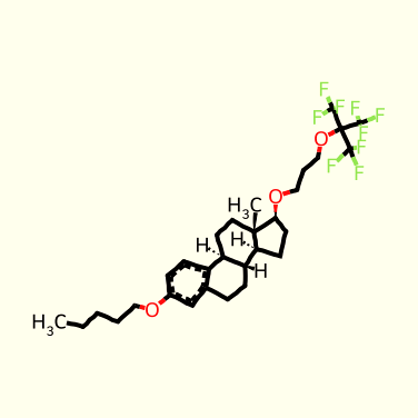 CCCCCOc1ccc2c(c1)CC[C@@H]1[C@@H]2CC[C@]2(C)[C@@H](OCCCOC(C(F)(F)F)(C(F)(F)F)C(F)(F)F)CC[C@@H]12